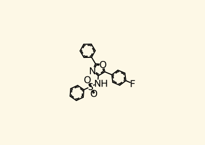 O=S(=O)(Nc1nc(-c2ccccc2)oc1-c1ccc(F)cc1)c1ccccc1